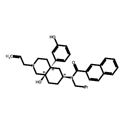 C=CCN1CC[C@@]2(c3cccc(O)c3)C[C@@H](N(CC(C)C)C(=O)c3ccc4ccccc4c3)CC[C@]2(O)C1